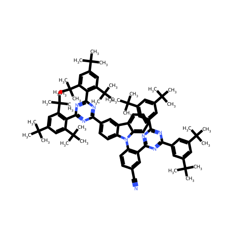 CC(C)(C)c1cc(-c2nc(-c3cc(C(C)(C)C)cc(C(C)(C)C)c3)nc(-c3cc(C#N)ccc3-n3c4ccccc4c4cc(-c5nc(-c6c(C(C)(C)C)cc(C(C)(C)C)cc6C(C)(C)C)nc(-c6c(C(C)(C)C)cc(C(C)(C)C)cc6C(C)(C)C)n5)ccc43)n2)cc(C(C)(C)C)c1